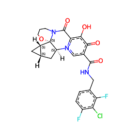 O=C(NCc1ccc(F)c(Cl)c1F)c1cn2c(c(O)c1=O)C(=O)N1CCCO[C@@]13[C@@H]2C[C@@H]1C[C@@H]13